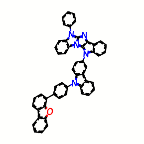 c1ccc(-n2c3ccccc3n3c2nc2c4ccccc4n(-c4ccc5c(c4)c4ccccc4n5-c4ccc(-c5cccc6c5oc5ccccc56)cc4)c23)cc1